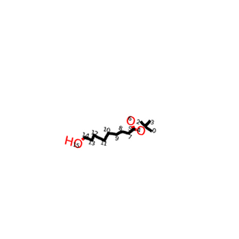 CC(C)(C)OC(=O)CCCCCCCCO